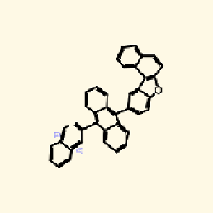 C=C(/C=c1/cccc/c1=C/C)c1c2ccccc2c(-c2ccc3oc4ccc5ccccc5c4c3c2)c2ccccc12